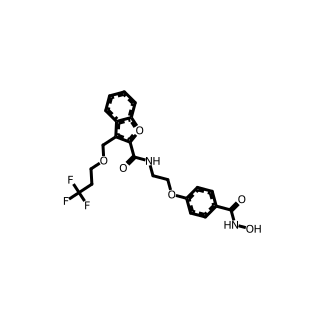 O=C(NO)c1ccc(OCCNC(=O)c2oc3ccccc3c2COCCC(F)(F)F)cc1